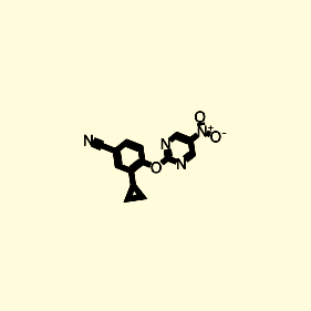 N#Cc1ccc(Oc2ncc([N+](=O)[O-])cn2)c(C2CC2)c1